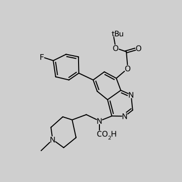 CN1CCC(CN(C(=O)O)c2ncnc3c(OC(=O)OC(C)(C)C)cc(-c4ccc(F)cc4)cc23)CC1